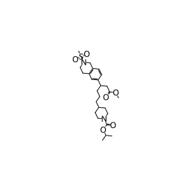 COC(=O)CC(CCCC1CCN(C(=O)OC(C)C)CC1)c1ccc2c(c1)CCN(S(C)(=O)=O)C2